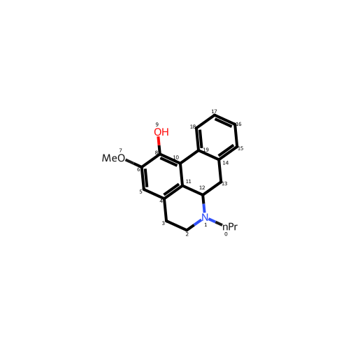 CCCN1CCc2cc(OC)c(O)c3c2C1Cc1ccccc1-3